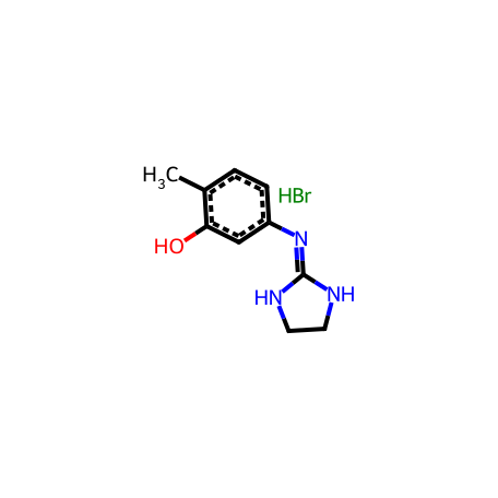 Br.Cc1ccc(N=C2NCCN2)cc1O